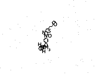 CN1[C@@H]2CC[C@H]1C[C@H](Oc1ccc(-n3cnc4cc(CCc5ccco5)sc4c3=O)cc1)C2